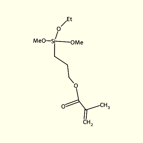 C=C(C)C(=O)OCCC[Si](OC)(OC)OCC